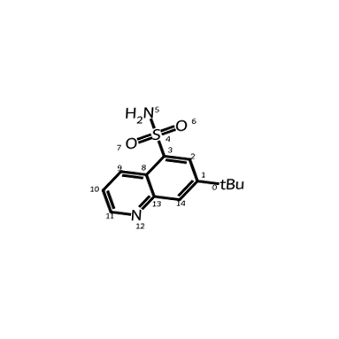 CC(C)(C)c1cc(S(N)(=O)=O)c2cccnc2c1